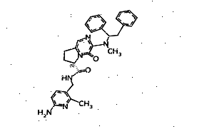 Cc1nc(N)ccc1CNC(=O)[C@@H]1CCc2cnc(N(C)C(Cc3ccccc3)c3ccccc3)c(=O)n21